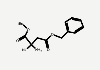 CC(C)(C)OC(=O)C(N)(C#N)CC(=O)OCc1ccccc1